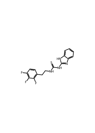 Fc1ccc(CCNC(=S)Nc2nc3ccccc3[nH]2)c(F)c1F